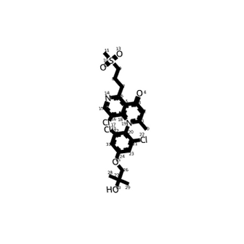 Cc1cc(=O)c2c(CCCS(C)(=O)=O)ncc(Cl)c2n1-c1c(Cl)cc(OCC(C)(C)O)cc1Cl